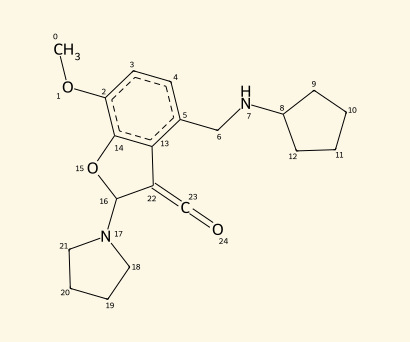 COc1ccc(CNC2CCCC2)c2c1OC(N1CCCC1)C2=C=O